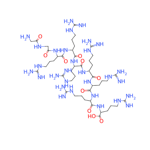 N=C(N)NCCCC(NC(=O)C(CCCNC(=N)N)NC(=O)C(CCCNC(=N)N)NC(=O)C(CCCNC(=N)N)NC(=O)C(CCCNC(=N)N)NC(=O)C(CCCNC(=N)N)NC(=O)C(CCCNC(=N)N)NC(=O)CNC(=O)CN)C(=O)O